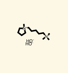 C[N+](C)(C)CCCCC[N+]1(C)CCCC1.[OH-].[OH-]